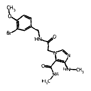 CNC(=O)c1c(NC)ncn1CC(=O)NCc1ccc(OC)c(Br)c1